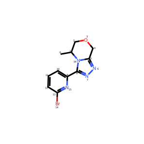 CC1COCc2nnc(-c3cccc(Br)n3)n21